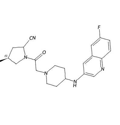 N#CC1C[C@H](F)CN1C(=O)CN1CCC(Nc2cnc3ccc(F)cc3c2)CC1